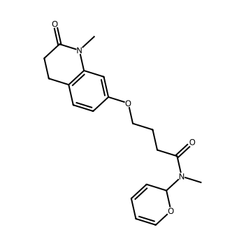 CN1C(=O)CCc2ccc(OCCCC(=O)N(C)C3C=CC=CO3)cc21